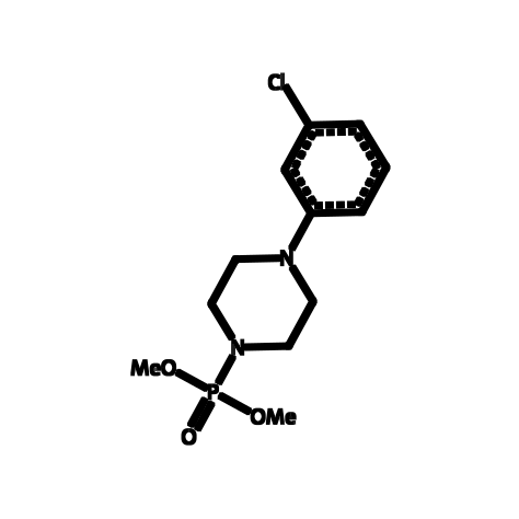 COP(=O)(OC)N1CCN(c2cccc(Cl)c2)CC1